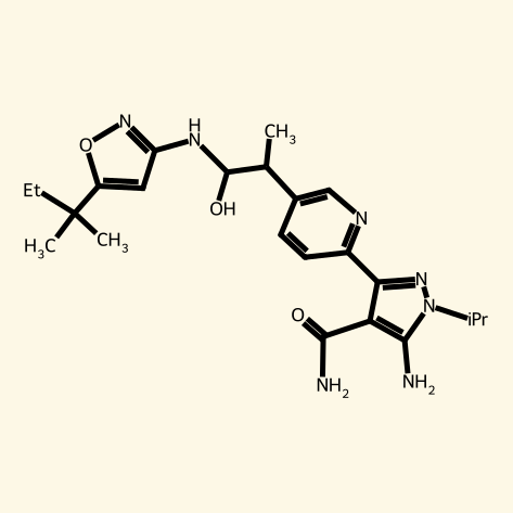 CCC(C)(C)c1cc(NC(O)C(C)c2ccc(-c3nn(C(C)C)c(N)c3C(N)=O)nc2)no1